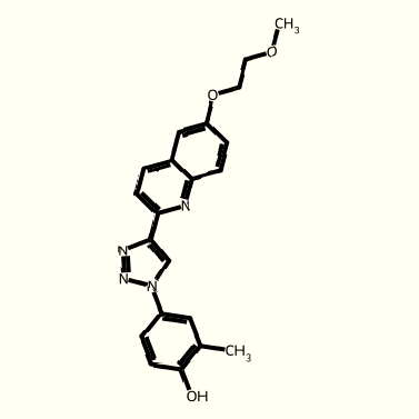 COCCOc1ccc2nc(-c3cn(-c4ccc(O)c(C)c4)nn3)ccc2c1